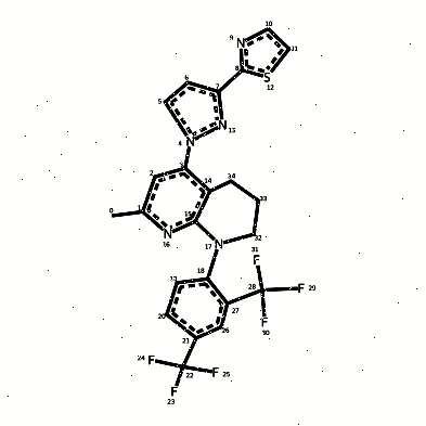 Cc1cc(-n2ccc(-c3nccs3)n2)c2c(n1)N(c1ccc(C(F)(F)F)cc1C(F)(F)F)CCC2